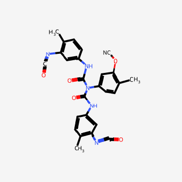 Cc1ccc(NC(=O)N(C(=O)Nc2ccc(C)c(N=C=O)c2)c2ccc(C)c(OC#N)c2)cc1N=C=O